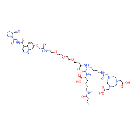 CCCC(=O)NCCCC[C@H](NC(=O)[C@H](CCCCNC(=O)CN1CCN(CC(=O)O)CCN(CC(=O)O)CC1)NC(=O)CCOCCOCCOCCNC(=O)COc1ccc2c(C(=O)NCC(=O)N3CCC[C@H]3C#N)ccnc2c1)C(=O)O